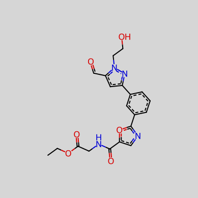 CCOC(=O)CNC(=O)c1cnc(-c2cccc(-c3cc(C=O)n(CCO)n3)c2)o1